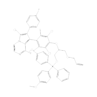 C=CCOCC(COC(c1ccccc1)(c1ccc(OC)cc1)c1ccc(OC)cc1)Oc1c(Cl)c(C)c(-c2c(-c3ccc(F)cc3)c(Cl)n3ccnc(F)c23)c(C)c1Cl